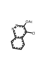 CC(=O)Oc1nnc2ccccc2c1Cl